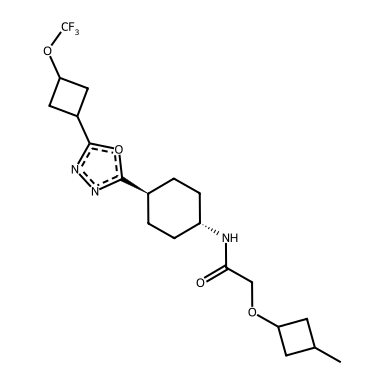 CC1CC(OCC(=O)N[C@H]2CC[C@H](c3nnc(C4CC(OC(F)(F)F)C4)o3)CC2)C1